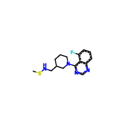 CSNCC1CCCN(c2ncnc3cccc(F)c23)C1